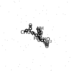 C[C@@H]1CN(c2cc(N3CCC(C(O)C4=C(c5ccc(Cl)cc5)CC5(CC4)COC5)CC3)ccc2C(=O)NS(=O)(=O)c2ccc(NC[C@@H]3COCCO3)c([N+](=O)[O-])c2)c2cc3cc[nH]c3nc2O1